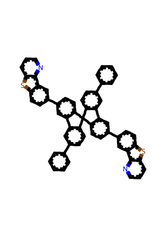 c1ccc(-c2ccc3c(c2)-c2cc(-c4ccc5sc6cccnc6c5c4)ccc2C32c3ccc(-c4ccccc4)cc3-c3cc(-c4ccc5sc6cccnc6c5c4)ccc32)cc1